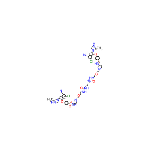 C[C@@H]1CN([C@H]2Cc3c(C#N)cc(Cl)cc3[C@@H]2Oc2ccc(SN[C@@H]3CCN(CCOCCNC(=O)NCCCCNC(=O)NCCOCCN4CC[C@@H](NS(=O)(=O)c5ccc(O[C@H]6c7cc(Cl)cc(C#N)c7C[C@@H]6N6CCN[C@H](C)C6)cc5)C4)C3)cc2)CCN1